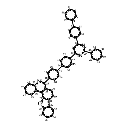 c1ccc(-c2ccc(-c3cc(-c4ccc(-c5ccc(-c6nc7ccccc7c7c6ccc6c8ccccc8oc67)cc5)cc4)nc(-c4ccccc4)n3)cc2)cc1